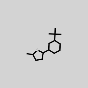 CC1CCC(C2CCCC(C(C)(C)C)C2)S1